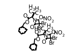 CC(C)=C(C(=O)OCc1ccccc1)N1C(=O)C(Br)(Br)C1O[N+](=O)[O-].CC1(C)C(C(=O)OCc2ccccc2)[N+]12C(=O)C(Br)(Br)C2O[N+](=O)[O-]